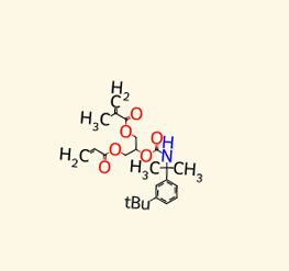 C=CC(=O)OCC(COC(=O)C(=C)C)OC(=O)NC(C)(C)c1cccc(C(C)(C)C)c1